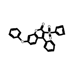 O=c1oc2cc(Oc3ccccc3)ccc2c(-c2ccccc2)c1S(=O)(=O)c1ccccc1